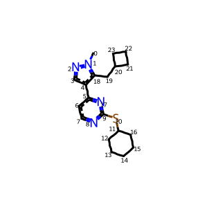 Cn1ncc(-c2ccnc(SC3CCCCC3)n2)c1CC1CCC1